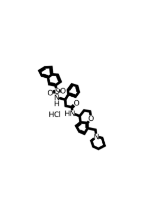 Cl.O=C(CC(NS(=O)(=O)c1ccc2ccccc2c1)c1ccccc1)NC1CCOc2c(CN3CCCCC3)cccc21